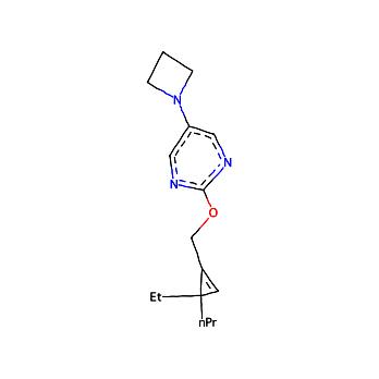 CCCC1(CC)C=C1COc1ncc(N2CCC2)cn1